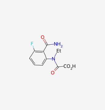 CCN(C(=O)C(=O)O)c1cccc(F)c1C(N)=O